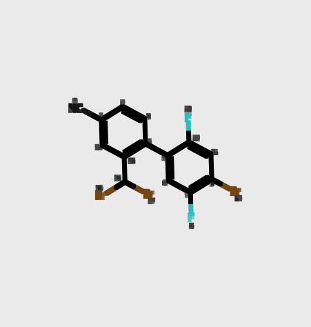 N#Cc1ccc(-c2cc(F)c(Br)cc2F)c(C(Br)Br)c1